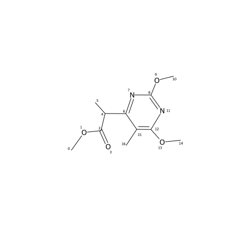 COC(=O)C(C)c1nc(OC)nc(OC)c1C